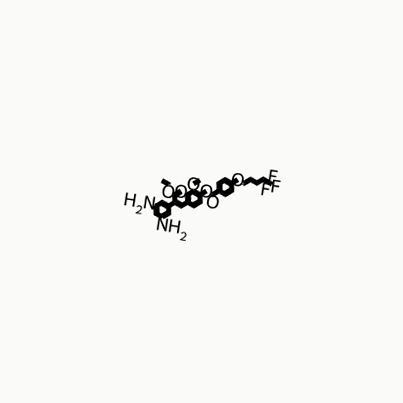 CCOC(=O)C(=Cc1ccc(OC(=O)c2ccc(OCCCCC(F)(F)F)cc2)c(OC)c1)c1cc(N)cc(N)c1